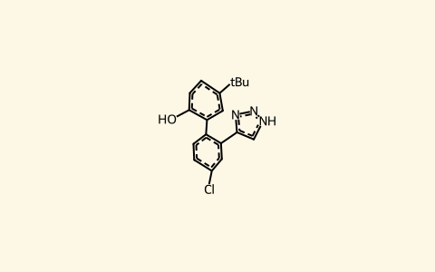 CC(C)(C)c1ccc(O)c(-c2ccc(Cl)cc2-c2c[nH]nn2)c1